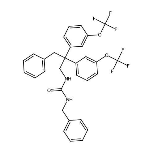 O=C(NCc1ccccc1)NCC(Cc1ccccc1)(c1cccc(OC(F)(F)F)c1)c1cccc(OC(F)(F)F)c1